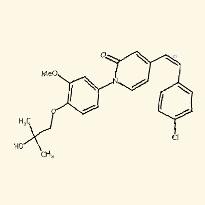 COc1cc(-n2ccc(/C=C\c3ccc(Cl)cc3)cc2=O)ccc1OCC(C)(C)O